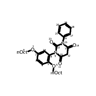 CCCCCCCCOc1ccc(OCCCCCCCC)c(N2C(=O)CC(=O)N(c3ccccc3)C2=O)c1